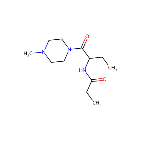 CCC(=O)NC(CC)C(=O)N1CCN(C)CC1